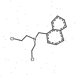 ClCCN(CCCl)Cc1cccc2ccccc12